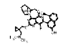 C#Cc1cccc2cc(O)cc(-c3nc4c5c(nc(OCC6(CN(C)C)CC6)nc5c3F)N3CC5CCC(N5)C3CO4)c12